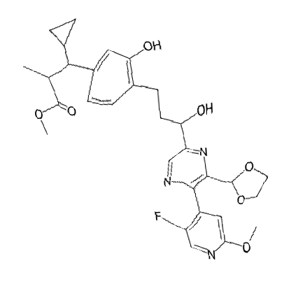 COC(=O)C(C)C(c1ccc(CCC(O)c2cnc(-c3cc(OC)ncc3F)c(C3OCCO3)n2)c(O)c1)C1CC1